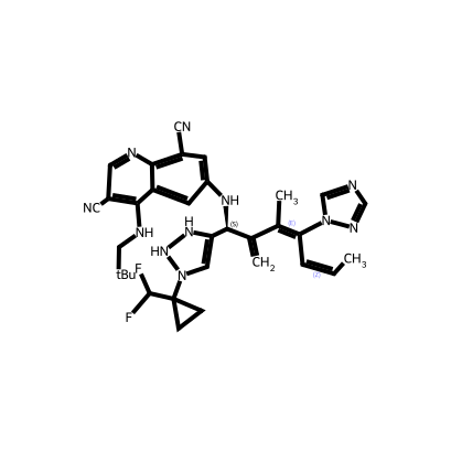 C=C(/C(C)=C(\C=C/C)n1cncn1)[C@H](Nc1cc(C#N)c2ncc(C#N)c(NCC(C)(C)C)c2c1)C1=CN(C2(C(F)F)CC2)NN1